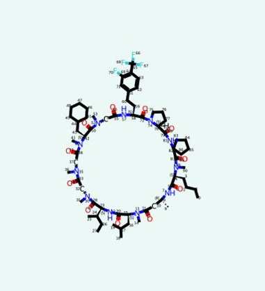 CCCC[C@H]1C(=O)N[C@H](C)CC(=O)N(C)[C@@H](CC(C)C)C(=O)N[C@@H](C(C)CC)C(=O)N(C)CC(=O)N(C)CC(=O)N(C)[C@@H](CC2CCCCC2)C(=O)N(C)CC(=O)N[C@@H](CCc2ccc(C(F)(F)F)c(F)c2)C(=O)N2CCC[C@H]2C(=O)NC2(CCCC2)C(=O)N1C